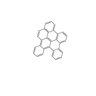 c1ccc2c(c1)c1cccc3c4cccc5ccc6c7ccccc7c2c(c13)c6c54